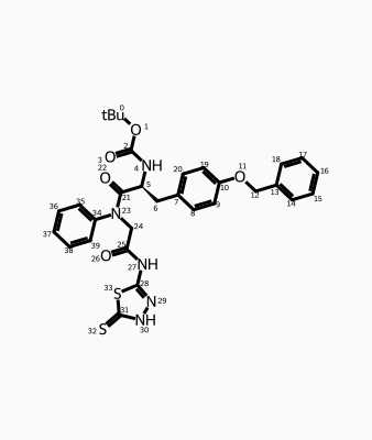 CC(C)(C)OC(=O)N[C@@H](Cc1ccc(OCc2ccccc2)cc1)C(=O)N(CC(=O)Nc1n[nH]c(=S)s1)c1ccccc1